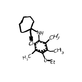 C#CC1(Nc2cc(C)c(OCC)c(C)c2C)CCCCC1